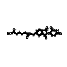 O=C(O)CCCCC(=O)NCc1ccc2c(c1)C(=O)N(C1CCC(=O)NC1=O)C2=O